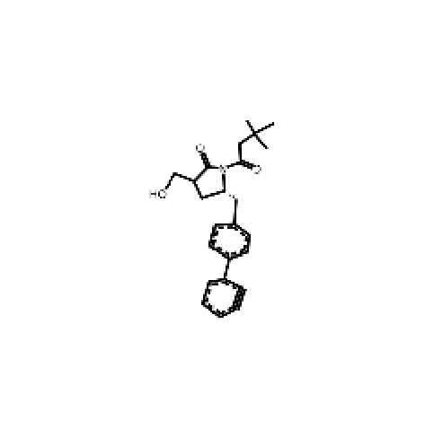 CC(C)(C)CC(=O)N1C(=O)C(CO)C[C@H]1Cc1ccc(-c2c#cccc2)cc1